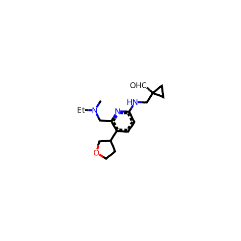 CCN(C)Cc1nc(NCC2(C=O)CC2)ccc1C1CCOC1